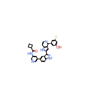 O=C(Nc1cncc(-c2ccc3[nH]nc(-c4cc5c(-c6cc(O)cc(F)c6)nccc5[nH]4)c3c2)c1)C1CCC1